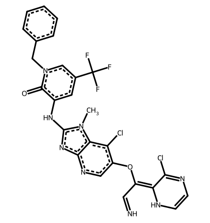 Cn1c(Nc2cc(C(F)(F)F)cn(Cc3ccccc3)c2=O)nc2ncc(O/C(C=N)=C3/NC=CN=C3Cl)c(Cl)c21